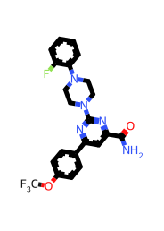 NC(=O)c1cc(-c2ccc(OC(F)(F)F)cc2)nc(N2CCN(c3ccccc3F)CC2)n1